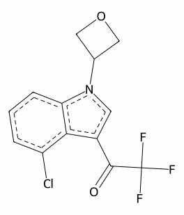 O=C(c1cn(C2COC2)c2cccc(Cl)c12)C(F)(F)F